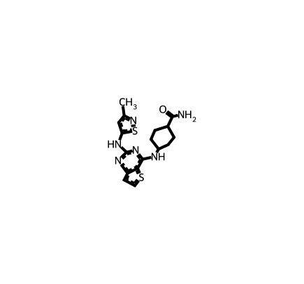 Cc1cc(Nc2nc(NC3CCC(C(N)=O)CC3)c3sccc3n2)sn1